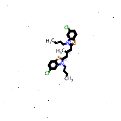 CCCCN1/C(=C/C(C)=C/c2sc3ccc(Cl)cc3[n+]2CCCC)Sc2ccc(Cl)cc21